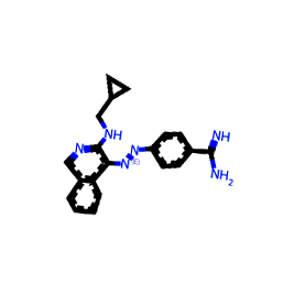 N=C(N)c1ccc(/N=N/c2c(NCC3CC3)ncc3ccccc23)cc1